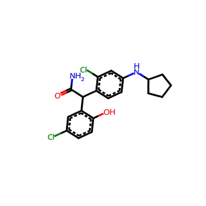 NC(=O)C(c1cc(Cl)ccc1O)c1ccc(NC2CCCC2)cc1Cl